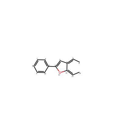 C/C=c1/cc(-c2ccccc2)o/c1=C/C